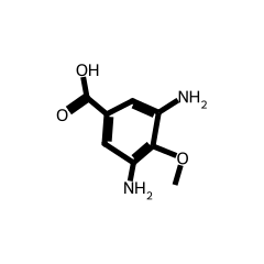 COc1c(N)cc(C(=O)O)cc1N